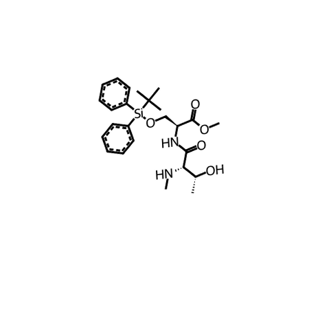 CN[C@H](C(=O)N[C@@H](CO[Si](c1ccccc1)(c1ccccc1)C(C)(C)C)C(=O)OC)[C@@H](C)O